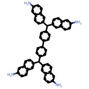 Nc1ccc2cc(C(c3ccc(-c4ccc(C(c5ccc6cc(N)ccc6c5)c5ccc6cc(N)ccc6c5)cc4)cc3)c3ccc4cc(N)ccc4c3)ccc2c1